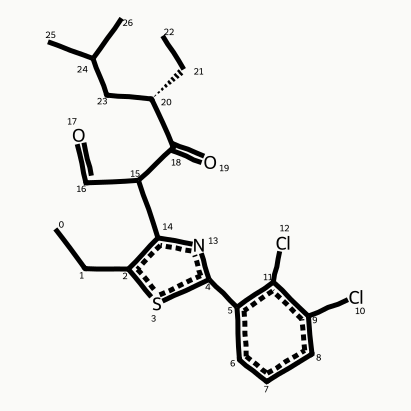 CCc1sc(-c2cccc(Cl)c2Cl)nc1C(C=O)C(=O)[C@@H](CC)CC(C)C